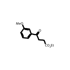 CCOC(=O)CCC(=O)c1cccc(OC)c1